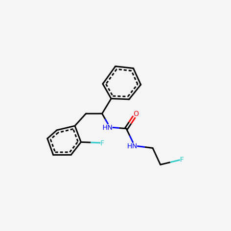 O=C(NCCF)NC(Cc1ccccc1F)c1ccccc1